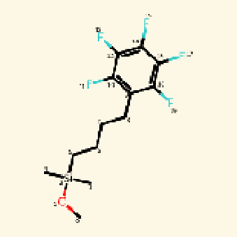 CO[Si](C)(C)CCCCc1c(F)c(F)c(F)c(F)c1F